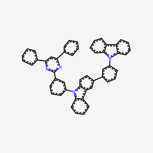 c1ccc(-c2cc(-c3ccccc3)nc(-c3cccc(-n4c5ccccc5c5cc(-c6cccc(-n7c8ccccc8c8ccccc87)c6)ccc54)c3)n2)cc1